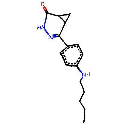 CCCCCNc1ccc(C2=NNC(=O)C3CC23)cc1